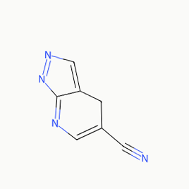 N#CC1=CN=C2N=NC=C2C1